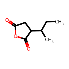 CCC(C)C1CC(=O)OC1=O